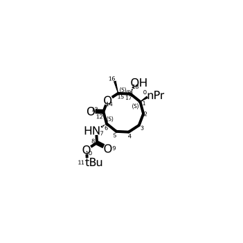 CCC[C@H]1CCCC[C@H](NC(=O)OC(C)(C)C)C(=O)O[C@@H](C)[C@@H]1O